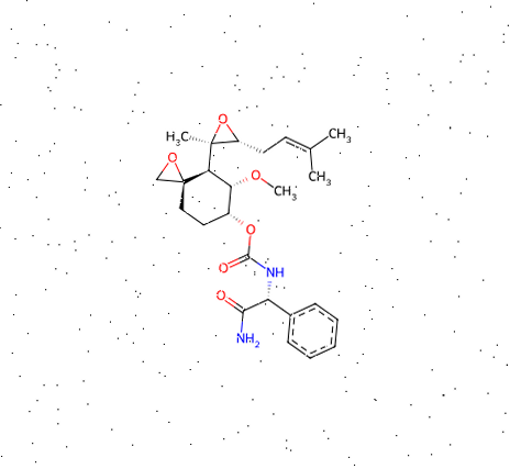 CO[C@@H]1[C@H](OC(=O)N[C@@H](C(N)=O)c2ccccc2)CC[C@]2(CO2)[C@H]1[C@@]1(C)O[C@@H]1CC=C(C)C